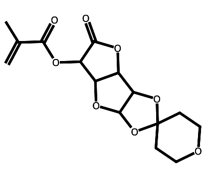 C=C(C)C(=O)OC1C(=O)OC2C3OC4(CCOCC4)OC3OC12